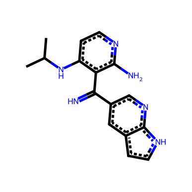 CC(C)Nc1ccnc(N)c1C(=N)c1cnc2[nH]ccc2c1